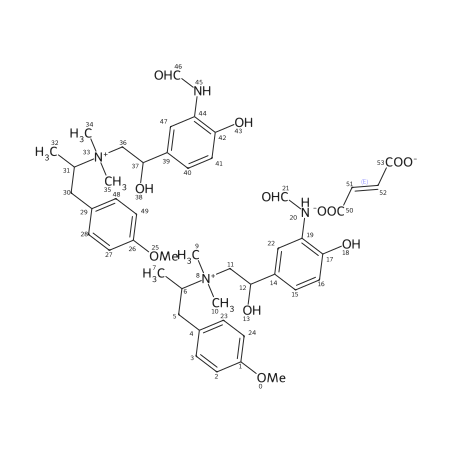 COc1ccc(CC(C)[N+](C)(C)CC(O)c2ccc(O)c(NC=O)c2)cc1.COc1ccc(CC(C)[N+](C)(C)CC(O)c2ccc(O)c(NC=O)c2)cc1.O=C([O-])/C=C/C(=O)[O-]